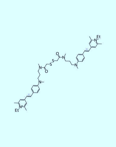 CC[n+]1c(C)cc(/C=C/c2ccc(N(C)CCCN(C)C(=O)CSSCC(=O)N(C)CCCN(C)c3ccc(/C=C/c4cc(C)[n+](CC)c(C)c4)cc3)cc2)cc1C